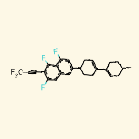 CC1CC=C(C2=CCC(c3cc(F)c4c(F)c(C#CC(F)(F)F)c(F)cc4c3)CC2)CC1